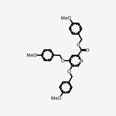 COc1ccc(COC(=O)c2cc(OCc3ccc(OC)cc3)c(OCc3ccc(OC)cc3)cn2)cc1